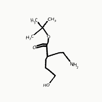 CC(C)(C)OC(=O)C(CN)CCO